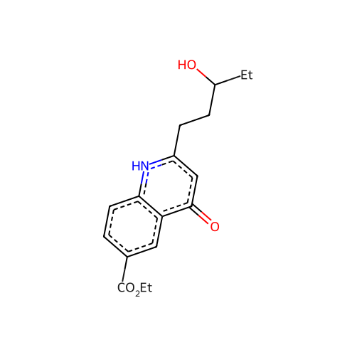 CCOC(=O)c1ccc2[nH]c(CCC(O)CC)cc(=O)c2c1